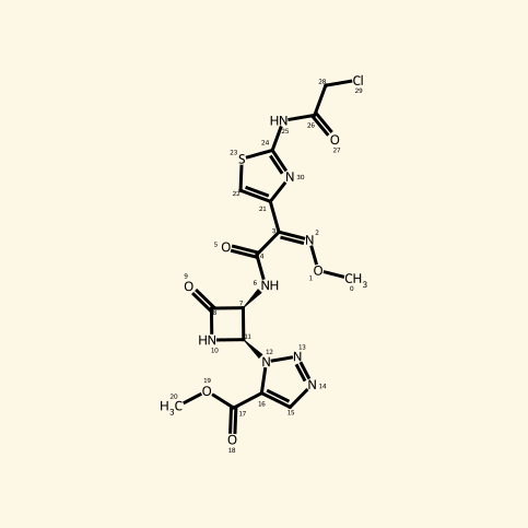 CON=C(C(=O)N[C@@H]1C(=O)N[C@@H]1n1nncc1C(=O)OC)c1csc(NC(=O)CCl)n1